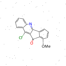 COc1cccc2c1C(=O)c1c-2nc2ccccc2c1Cl